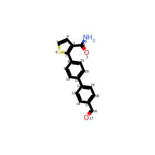 NC(=O)c1ccsc1-c1ccc(-c2ccc(C=O)cc2)cc1